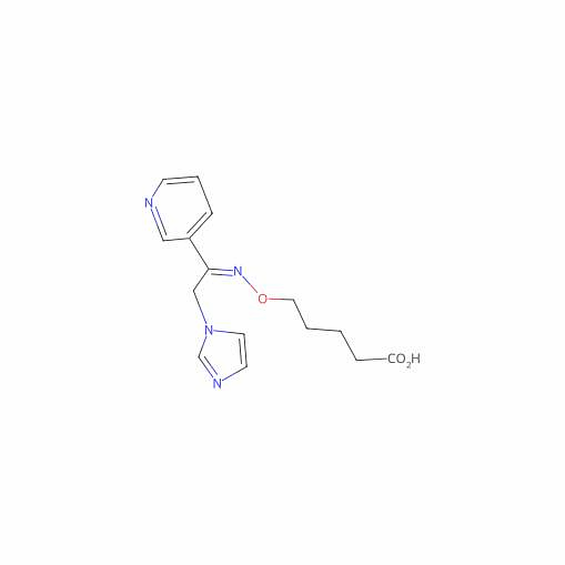 O=C(O)CCCCON=C(Cn1ccnc1)c1cccnc1